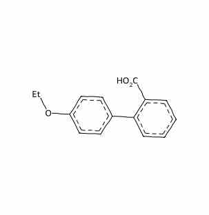 CCOc1ccc(-c2ccccc2C(=O)O)cc1